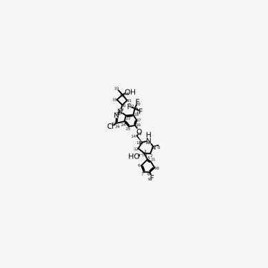 C[C@H]1C[C@@](O)(c2ccc(F)cc2)C[C@@H](COc2cc(C(F)(F)F)c3c(c2)c(Cl)nn3C2CC(C)(O)C2)N1